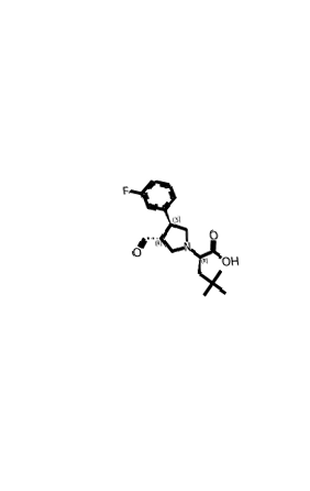 CC(C)(C)C[C@H](C(=O)O)N1C[C@H](c2cccc(F)c2)[C@@H](C=O)C1